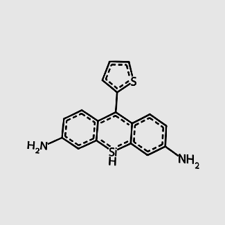 Nc1ccc2c(-c3cccs3)c3ccc(N)cc3[siH]c2c1